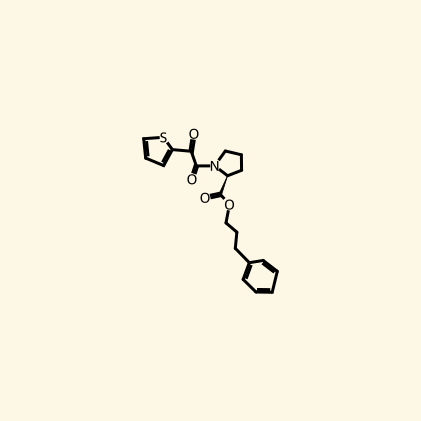 O=C(C(=O)N1CCC[C@H]1C(=O)OCCCc1ccccc1)c1cccs1